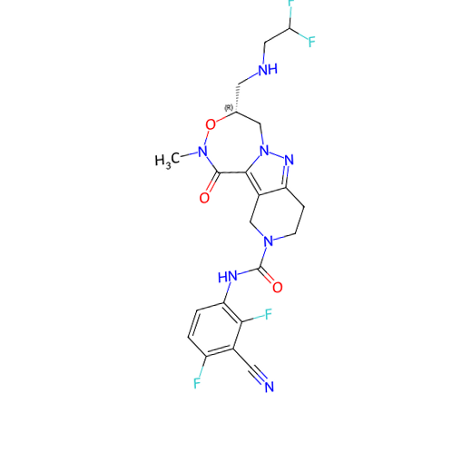 CN1O[C@H](CNCC(F)F)Cn2nc3c(c2C1=O)CN(C(=O)Nc1ccc(F)c(C#N)c1F)CC3